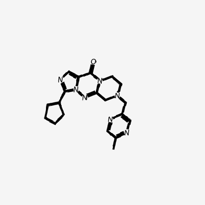 Cc1cnc(CN2CCn3c(nn4c(C5CCCC5)ncc4c3=O)C2)cn1